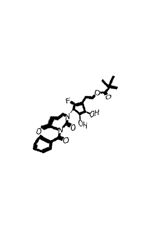 CC(C)(C)C(=O)OCCC1=C(F)[C@@H](n2ccc(=O)n(C(=O)c3ccccc3)c2=O)[C@H](O)[C@@H]1O